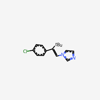 CC(C)(C)/C(=C\n1ccnc1)c1ccc(Cl)cc1